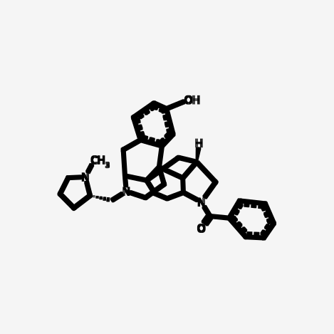 CN1CCC[C@H]1CN1CCC23c4cc(O)ccc4CC1C21CCC2C3[C@@H](CN2C(=O)c2ccccc2)C1